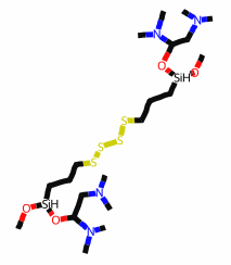 CO[SiH](CCCSSSSCCC[SiH](OC)OC(CN(C)C)N(C)C)OC(CN(C)C)N(C)C